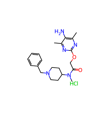 Cc1nc(OCC(=O)N(C)C2CCN(Cc3ccccc3)CC2)nc(C)c1N.Cl